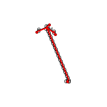 O=C(CCCCCCCCCCC(CCCCCCCCCCC(=O)OCc1ccccc1)(C(=O)NCCOCCOCCOCCOCCOCCOCCOCCOCCOCCOCCOCCOCCOCCOCCOCCOCCOCCOCCOCCOCCOCCOCCOCCOCCC(=O)ON1C(=O)CCC1=O)C(=O)OCc1ccccc1)OCc1ccccc1